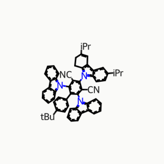 CC(C)C1=Cc2c(n(-c3c(C#N)c(-n4c5ccccc5c5ccccc54)c(-c4ccc(C(C)(C)C)cc4)c(-n4c5ccccc5c5ccccc54)c3C#N)c3ccc(C(C)C)cc23)CC1